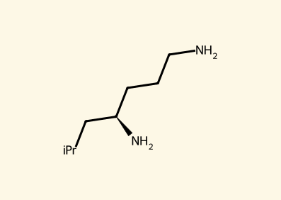 CC(C)C[C@H](N)CCCN